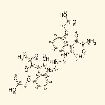 Cc1c(C(=O)C(N)=O)c2c(OCC(=O)O)cccc2n1CNCn1c(C)c(C(=O)C(N)=O)c2c(OCC(=O)O)cccc21